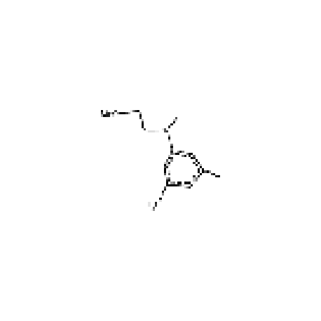 COCCN(C)c1cc(C)cc(C(F)(F)F)c1